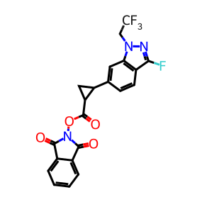 O=C(ON1C(=O)c2ccccc2C1=O)C1CC1c1ccc2c(F)nn(CC(F)(F)F)c2c1